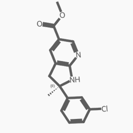 COC(=O)c1cnc2c(c1)C[C@](C)(c1cccc(Cl)c1)N2